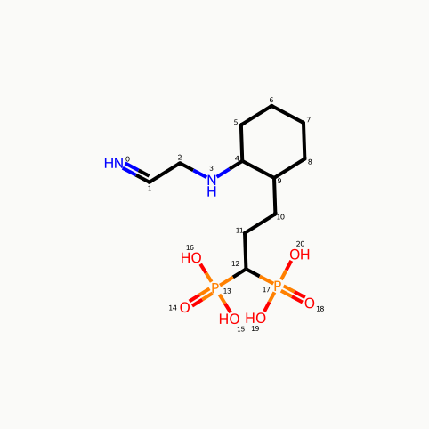 N=CCNC1CCCCC1CCC(P(=O)(O)O)P(=O)(O)O